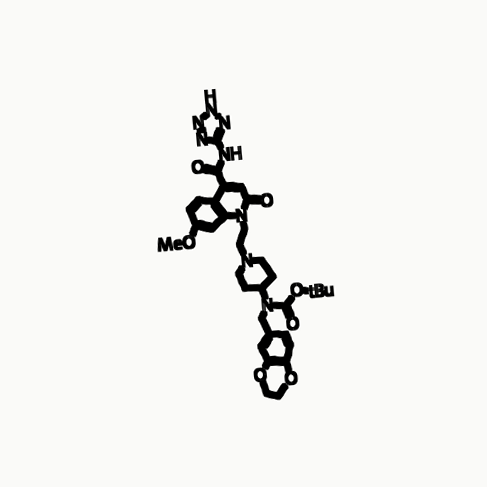 COc1ccc2c(C(=O)Nc3nn[nH]n3)cc(=O)n(CCN3CCC(N(Cc4ccc5c(c4)OCCO5)C(=O)OC(C)(C)C)CC3)c2c1